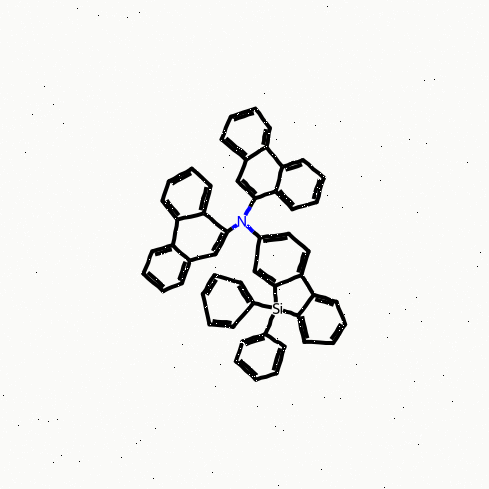 c1ccc([Si]2(c3ccccc3)c3ccccc3-c3ccc(N(c4cc5ccccc5c5ccccc45)c4cc5ccccc5c5ccccc45)cc32)cc1